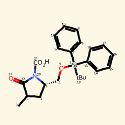 CC1C[C@@H](CO[Si](c2ccccc2)(c2ccccc2)C(C)(C)C)N(C(=O)O)C1=O